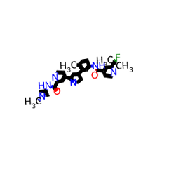 Cc1ccc(NC(=O)c2ccnc(C(C)(C)F)c2)cc1C1=CC(c2ccnc(C(=O)NC3CN(C)C3)c2)=NCC1